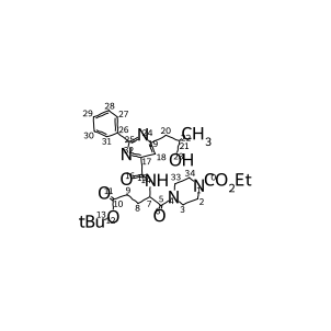 CCOC(=O)N1CCN(C(=O)C(CCC(=O)OC(C)(C)C)NC(=O)c2cc(CC(C)O)nc(-c3ccccc3)n2)CC1